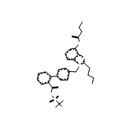 CCCCc1nc2c(NC(=O)CCC)cccc2n1Cc1ccc(-c2ccccc2C(=O)NS(=O)(=O)C(F)(F)F)cc1